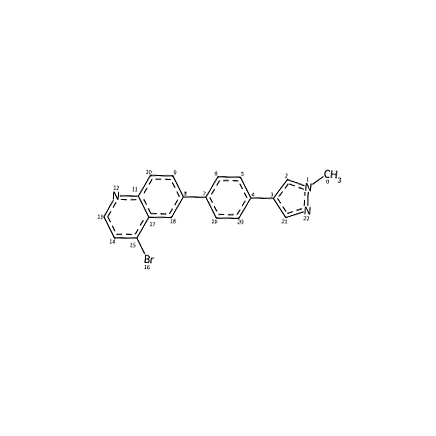 Cn1cc(-c2ccc(-c3ccc4nccc(Br)c4c3)cc2)cn1